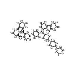 c1ccc(-c2ccc(-c3ccc(N(c4ccc(-c5ccc6c(c5)-n5c7ccccc7c7cccc(c75)O6)cc4)c4cccc5c4sc4ccccc45)cc3)cc2)cc1